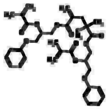 C=C(C)C(=O)OC(COC(=O)C(=C)CC(C)(C)C(=O)OCC(COc1ccccc1)OC(=O)C(=C)C)COc1ccccc1